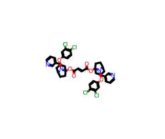 O=C(/C=C/C(=O)OC12CCC(CC(Oc3ccc(Cl)c(Cl)c3)C1)N2Cc1cccnc1)OC12CCC(CC(Oc3ccc(Cl)c(Cl)c3)C1)N2Cc1cccnc1